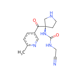 Cc1ccc(C(=O)[C@@]2(NC(=O)NCC#N)CCNC2)cn1